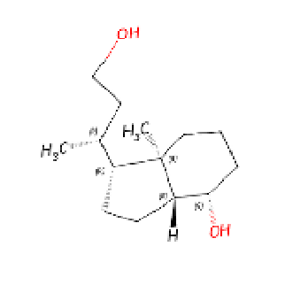 C[C@H](CCO)[C@H]1CC[C@H]2[C@@H](O)CCC[C@]12C